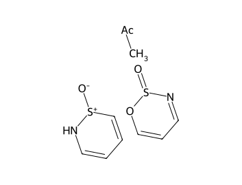 CC(C)=O.O=S1N=CC=CO1.[O-][S+]1C=CC=CN1